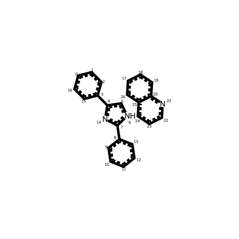 c1ccc(-c2c[nH]c(-c3ccccc3)n2)cc1.c1ccc2ncccc2c1